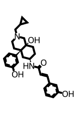 O=C(C=Cc1cccc(O)c1)N[C@H]1CC[C@]2(O)CN(CC3CC3)CC[C@@]2(c2cccc(O)c2)C1